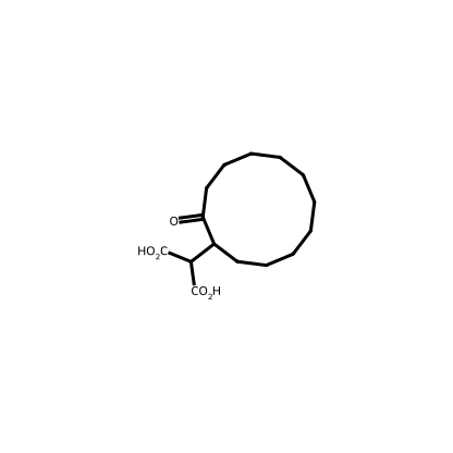 O=C1CCCCCCCCCCC1C(C(=O)O)C(=O)O